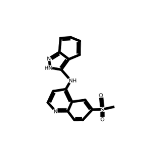 CS(=O)(=O)c1ccc2nccc(Nc3[nH]nc4ccccc34)c2c1